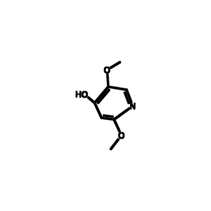 COc1cc(O)c(OC)cn1